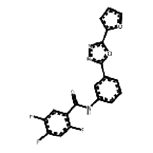 O=C(Nc1cccc(-c2nnc(-c3ccco3)o2)c1)c1cc(F)c(F)cc1F